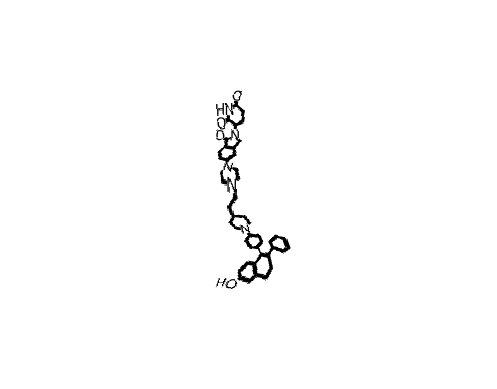 O=C1CCC(N2Cc3cc(N4CCN(CCC5CCN(c6ccc([C@@H]7c8ccc(O)cc8CCC7c7ccccc7)cc6)CC5)CC4)ccc3C2=O)C(=O)N1